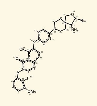 COc1cccc(Cn2cnc3ccc(Sc4cnc(N5CCC6(CC5)CO[C@@H](I)[C@H]6N)cn4)c(Cl)c3c2=O)c1F